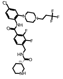 O=C(Nc1ccc(Cl)cc1N1CCN(CCC(F)(F)F)CC1)c1ccc(CNC(=O)[C@H]2CCCNC2)c(F)c1F